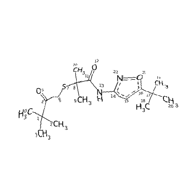 CC(C)(C)C(=O)CSC(C)(C)C(=O)Nc1cc(C(C)(C)C)on1